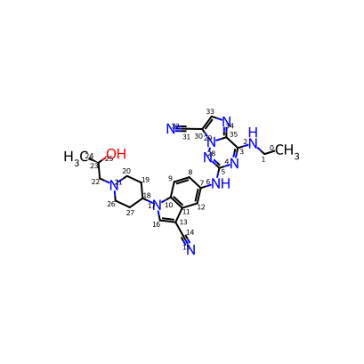 CCNc1nc(Nc2ccc3c(c2)c(C#N)cn3C2CCN(C[C@@H](C)O)CC2)nn2c(C#N)cnc12